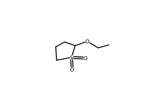 CCOC1CCCS1(=O)=O